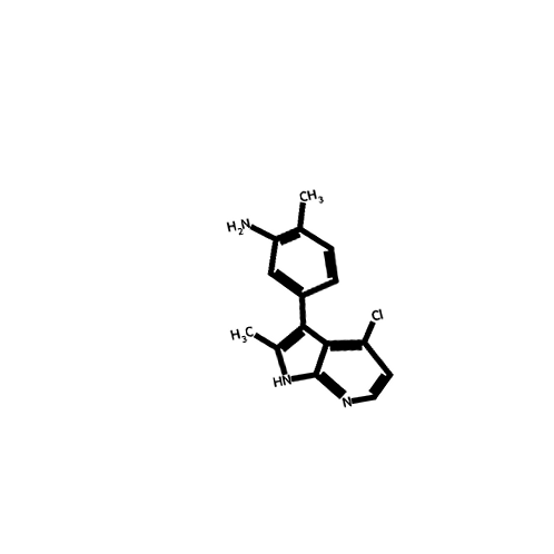 Cc1ccc(-c2c(C)[nH]c3nccc(Cl)c23)cc1N